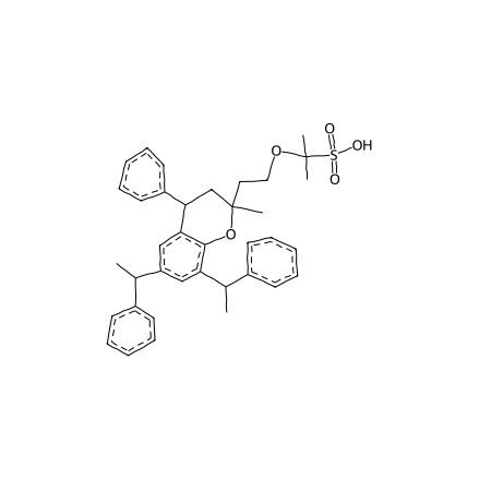 CC(c1ccccc1)c1cc(C(C)c2ccccc2)c2c(c1)C(c1ccccc1)CC(C)(CCOC(C)(C)S(=O)(=O)O)O2